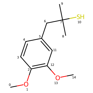 COc1ccc(CC(C)(C)S)cc1OC